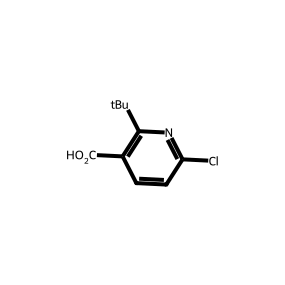 CC(C)(C)c1nc(Cl)ccc1C(=O)O